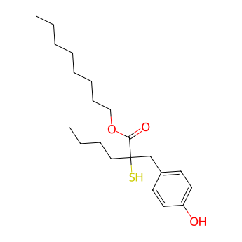 CCCCCCCCOC(=O)C(S)(CCCC)Cc1ccc(O)cc1